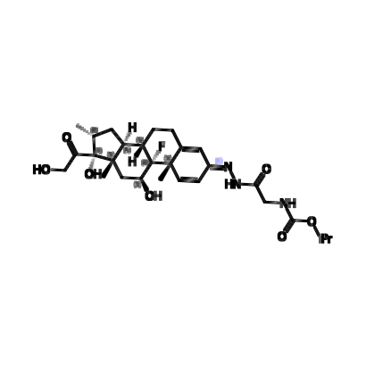 CC(C)OC(=O)NCC(=O)N/N=C1\C=C[C@@]2(C)C(=C1)CC[C@H]1[C@@H]3C[C@@H](C)[C@](O)(C(=O)CO)[C@@]3(C)C[C@H](O)[C@@]12F